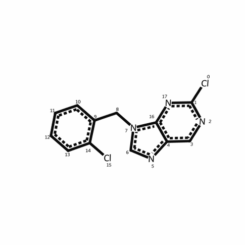 Clc1ncc2ncn(Cc3ccccc3Cl)c2n1